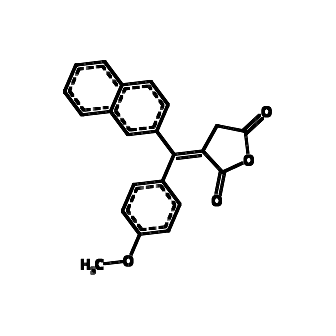 COc1ccc(C(=C2CC(=O)OC2=O)c2ccc3ccccc3c2)cc1